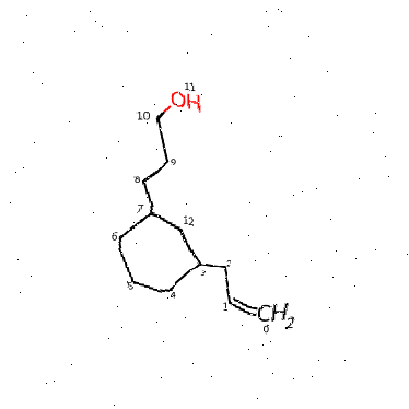 C=CCC1CCCC(CCCO)C1